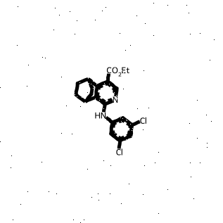 CCOC(=O)c1cnc(Nc2cc(Cl)cc(Cl)c2)c2c1C1CCC2CC1